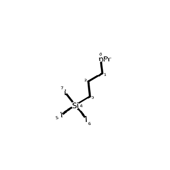 CCCCCC[Si](I)(I)I